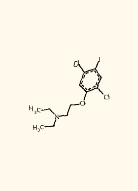 CCN(CC)CCOc1cc(Cl)c(I)cc1Cl